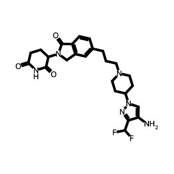 Nc1cn(C2CCN(CCCc3ccc4c(c3)CN(C3CCC(=O)NC3=O)C4=O)CC2)nc1C(F)F